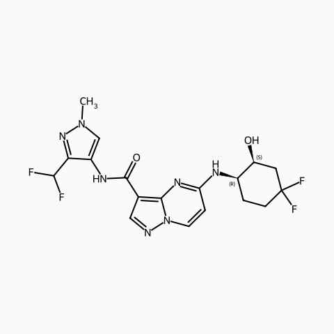 Cn1cc(NC(=O)c2cnn3ccc(N[C@@H]4CCC(F)(F)C[C@@H]4O)nc23)c(C(F)F)n1